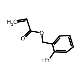 C=CC(=O)OCc1ccccc1CCC